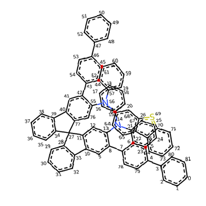 c1ccc(-c2ccc(-c3cc4c(cc3N(c3ccccc3)c3ccccc3)C3(c5ccccc5-4)c4ccccc4-c4cc(-c5ccc(-c6ccccc6)cc5)c(N(c5ccccc5)c5ccc6c(c5)sc5ccccc56)cc43)cc2)cc1